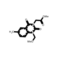 COCn1c(=O)n(CC(=O)OC)c(=O)c2cc(C)ccc21